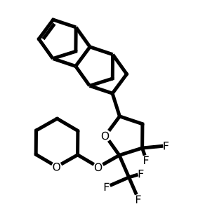 FC(F)(F)C1(OC2CCCCO2)OC(C2CC3CC2C2C4C=CC(C4)C32)CC1(F)F